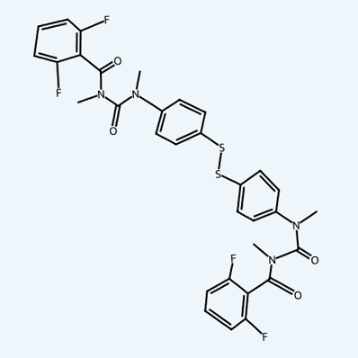 CN(C(=O)c1c(F)cccc1F)C(=O)N(C)c1ccc(SSc2ccc(N(C)C(=O)N(C)C(=O)c3c(F)cccc3F)cc2)cc1